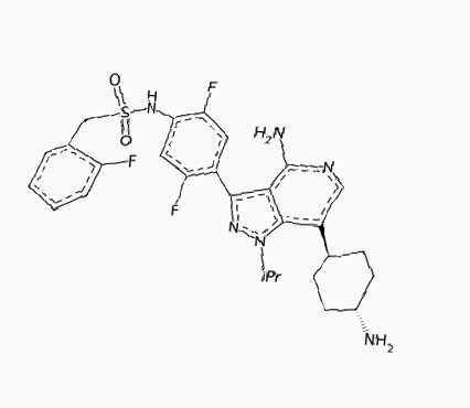 CC(C)n1nc(-c2cc(F)c(NS(=O)(=O)Cc3ccccc3F)cc2F)c2c(N)ncc([C@H]3CC[C@H](N)CC3)c21